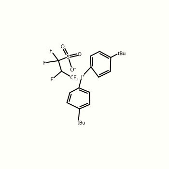 CC(C)(C)c1ccc([I+]c2ccc(C(C)(C)C)cc2)cc1.O=S(=O)([O-])C(F)(F)C(F)C(F)(F)F